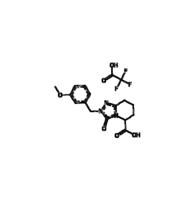 COc1cccc(Cn2nc3n(c2=O)C(C(=O)O)CCC3)c1.O=C(O)C(F)(F)F